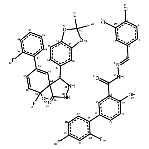 O=C(NN=Cc1ccc(Cl)c(Cl)c1)c1cc(-c2ccc(F)cc2F)ccc1O.O=C1NNC(c2ccc3c(c2)OC(F)(F)O3)C12C=C(c1ccccc1F)C=CC2(O)F